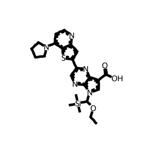 CCOC(n1cc(C(=O)O)c2nc(-c3cc4nccc(N5CCCC5)c4s3)cnc21)[Si](C)(C)C